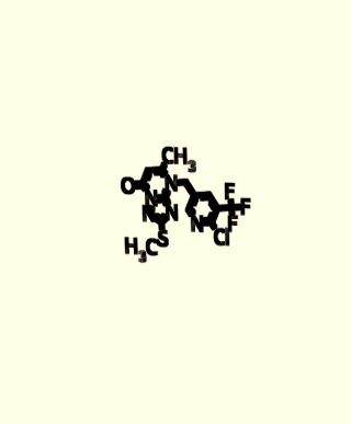 CSc1nc2n(Cc3cnc(Cl)c(C(F)(F)F)c3)c(C)cc(=O)n2n1